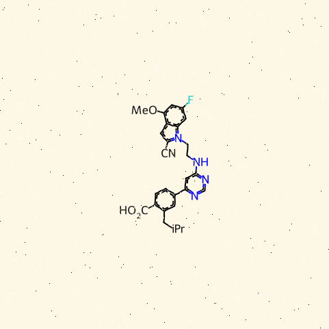 COc1cc(F)cc2c1cc(C#N)n2CCNc1cc(-c2ccc(C(=O)O)c(CC(C)C)c2)ncn1